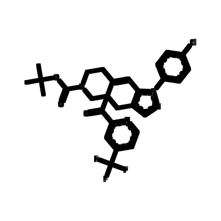 CC(C)(C)OC(=O)N1CCC2=Cc3c(cnn3-c3ccc(Cl)cc3)CC2(C(=O)c2cc(C(F)(F)F)ccn2)C1